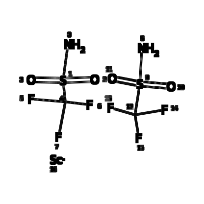 NS(=O)(=O)C(F)(F)F.NS(=O)(=O)C(F)(F)F.[Sc]